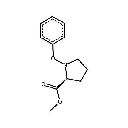 COC(=O)[C@@H]1CCCN1Oc1ccccc1